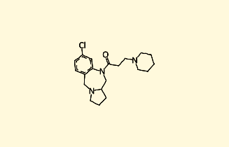 O=C(CCN1CCCCC1)N1CC2CCCN2Cc2ccc(Cl)cc21